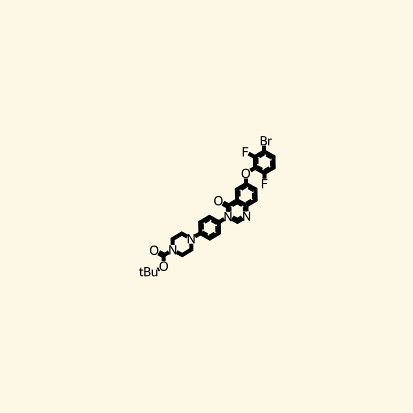 CC(C)(C)OC(=O)N1CCN(c2ccc(-n3cnc4ccc(Oc5c(F)ccc(Br)c5F)cc4c3=O)cc2)CC1